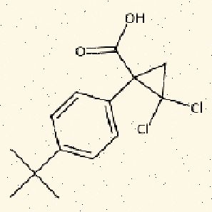 CC(C)(C)c1ccc(C2(C(=O)O)CC2(Cl)Cl)cc1